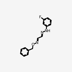 Fc1cccc(NN=CC=NOCc2ccccc2)c1